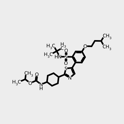 CC(C)CCOc1ccc(-c2cnc(C3CCC(NC(=O)OC(C)C)CC3)s2)c(S(=O)(=O)NC(C)(C)C)c1